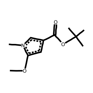 COc1cc(C(=O)OC(C)(C)C)cn1C